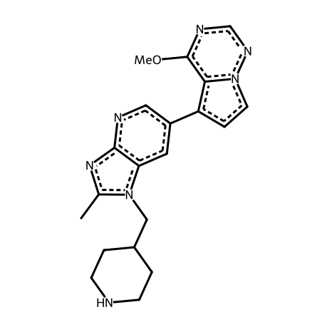 COc1ncnn2ccc(-c3cnc4nc(C)n(CC5CCNCC5)c4c3)c12